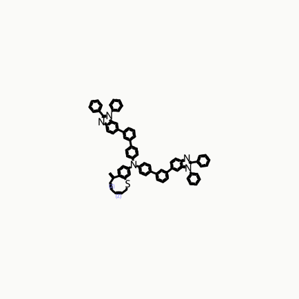 C=C1/C=C\C=C/CSc2cc(N(c3ccc(-c4cccc(-c5ccc6nc(-c7ccccc7)n(-c7ccccc7)c6c5)c4)cc3)c3ccc(-c4cccc(-c5ccc6nc(-c7ccccc7)n(-c7ccccc7)c6c5)c4)cc3)ccc21